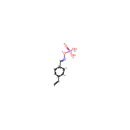 C=Cc1ccc(C=NOP(=O)(O)O)cc1